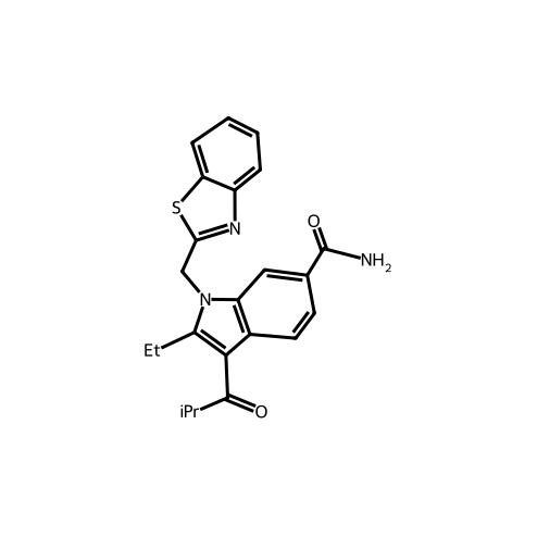 CCc1c(C(=O)C(C)C)c2ccc(C(N)=O)cc2n1Cc1nc2ccccc2s1